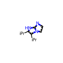 CC(C)c1[nH]c2nccn2c1C(C)C